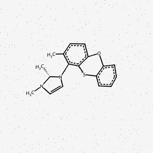 Cc1ccc2c(c1N1C=CN(C)[C@@H]1C)Sc1ccccc1O2